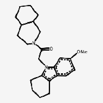 COc1ccc2c3c(n(CC(=O)N4CCC5CCCCC5C4)c2c1)CCCC3